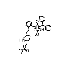 COC(=O)N[C@H](C(=O)Nc1ccccc1CC[C@@H]1CN[C@H](COC(=O)N(C)C)CO1)C(c1ccccc1)c1ccccc1